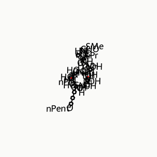 CCCCCOc1ccc(-c2ccc(-c3ccc(C(=O)N[C@H]4C[C@@H](O)[C@@H](OCCC)NC(=O)[C@@H]5[C@@H](O)[C@@H](C)CN5C(=O)[C@H]([C@@H](C)O)NC(=O)[C@H]([C@H](O)[C@@H](O)c5ccc(O)c(NC(=O)CCNC(=O)[C@H](Cc6ccccc6)NC(=O)[C@H](CC(C)C)NC(=O)[C@H](CCSC)NC=O)c5)NC(=O)[C@@H]5C[C@@H](O)CN5C(=O)[C@H]([C@@H](C)O)NC4=O)cc3)cc2)cc1